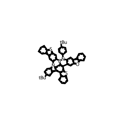 CC(C)(C)c1ccc(N2B3c4cc5sc6ccccc6c5cc4-n4c5ccc(C(C)(C)C)cc5c5c6c(sc7ccccc76)c(c3c54)-c3cc4oc5ccccc5c4cc32)cc1